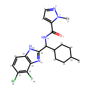 CCn1nccc1C(=O)NC(c1nc2c(F)c(Br)ccc2[nH]1)C1CCC(C)CC1